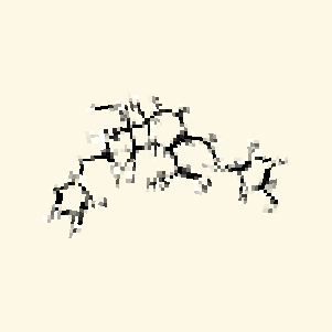 COC1(NC(=O)Cn2cnnn2)C(=O)N2C(C(=O)O)=C(CSc3nnc(C)o3)CS[C@H]21